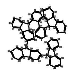 c1ccc(-n2c3ccccc3c3ccccc32)c(-c2ccccc2-n2c3ccccc3c3cc(-n4c5ccccc5c5ccc(-n6c7ccccc7c7ccccc76)cc54)ccc32)c1